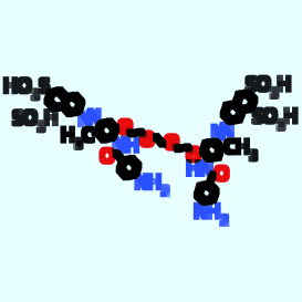 Cc1cc(NC(=O)c2ccc(N)cc2)c(OCCOCCOCCOc2cc(/N=N/c3ccc4cc(S(=O)(=O)O)cc(S(=O)(=O)O)c4c3)c(C)cc2NC(=O)c2ccc(N)cc2)cc1/N=N/c1ccc2cc(S(=O)(=O)O)cc(S(=O)(=O)O)c2c1